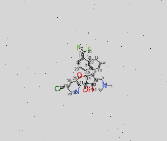 C[C@@H]1[C@H](CN(C)C)[C@@H](c2ccccc2)[C@]2(c3ccc(C(F)F)cc3)Oc3cc(Cl)cnc3[C@]12O